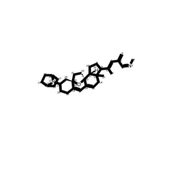 C=C(/C=N\C)/C=C(\C)C1CC[C@@H]2C1(C)CC=C1C=C3CCC(N4C5CCC4CC5)C[C@]34CC[C@@]12O4